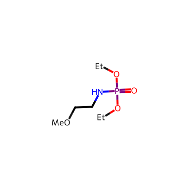 CCOP(=O)(NCCOC)OCC